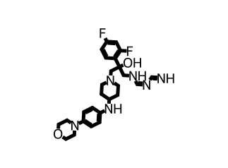 N=C/N=C\NCC(O)(CN1CCC(Nc2ccc(N3CCOCC3)cc2)CC1)c1ccc(F)cc1F